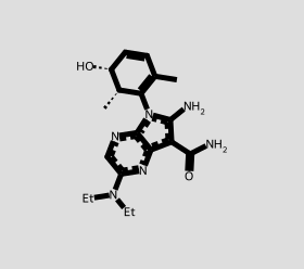 CCN(CC)c1cnc2c(n1)c(C(N)=O)c(N)n2C1=C(C)C=C[C@@H](O)[C@H]1C